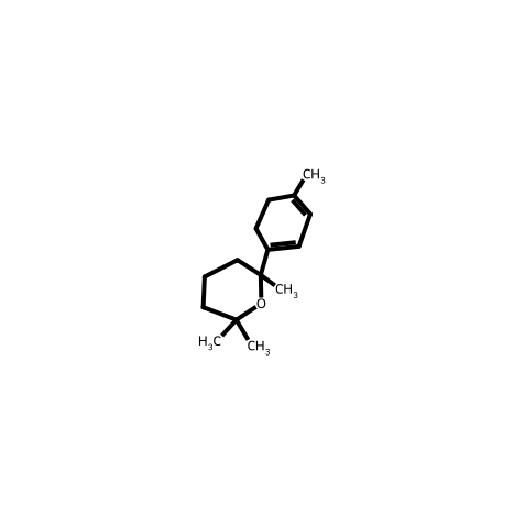 CC1=CC=C(C2(C)CCCC(C)(C)O2)CC1